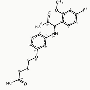 COc1cc(F)ccc1C(Nc1cccc(OCCCC(=O)O)c1)C(C)=O